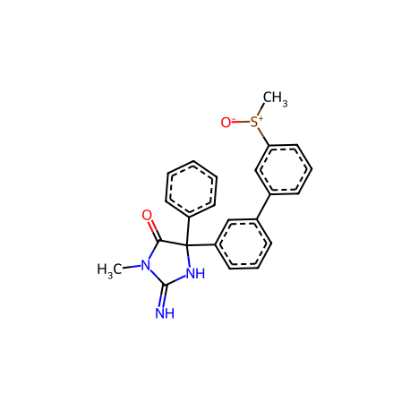 CN1C(=N)NC(c2ccccc2)(c2cccc(-c3cccc([S+](C)[O-])c3)c2)C1=O